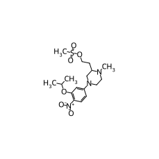 CC(C)Oc1cc(N2CCN(C)C(CCOS(C)(=O)=O)C2)ccc1[N+](=O)[O-]